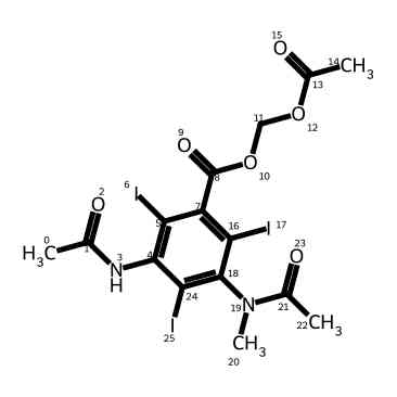 CC(=O)Nc1c(I)c(C(=O)OCOC(C)=O)c(I)c(N(C)C(C)=O)c1I